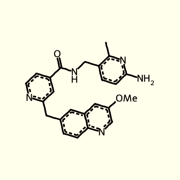 COc1cnc2ccc(Cc3cc(C(=O)NCc4ccc(N)nc4C)ccn3)cc2c1